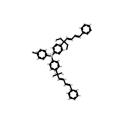 CCC(C=CC=Cc1ccccc1)(CC)c1ccc(N(c2ccc(C)cc2)c2ccc(C(C)(C)C=CC=Cc3ccccc3)cc2)cc1